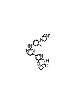 Cc1cc(Nc2nccc(-c3cnc4c(c3)OC3(CCC3)C(=O)N4)n2)ccc1N1CC2CC1CN2C